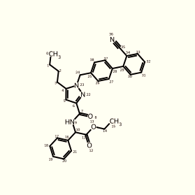 CCCCc1cc(C(=O)NC(C(=O)OCC)c2ccccc2)nn1Cc1ccc(-c2ccccc2C#N)cc1